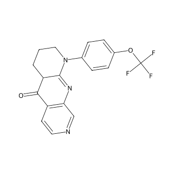 O=C1c2ccncc2N=C2C1CCCN2c1ccc(OC(F)(F)F)cc1